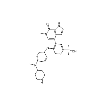 CN(c1ccc(Oc2ccc(C(C)(C)O)cc2-c2cn(C)c(=O)c3[nH]ccc23)cc1)C1CCNCC1